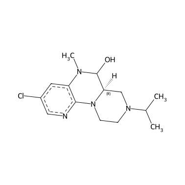 CC(C)N1CCN2c3ncc(Cl)cc3N(C)C(O)[C@H]2C1